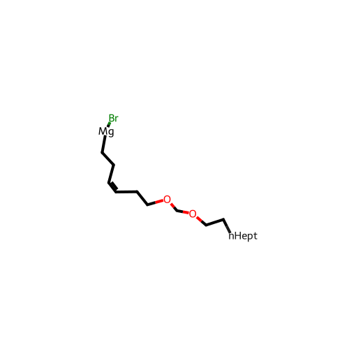 CCCCCCCCCOCOCC/C=C\C[CH2][Mg][Br]